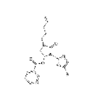 C=CCCCN1CC(OC(=O)c2cccnc2)N(c2ncc(Br)s2)C1=O